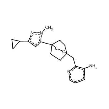 Cn1nc(C2CC2)cc1C12CCC(Cc3ncccc3N)(CC1)CC2